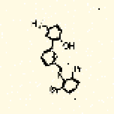 Cc1ccc(O)c(-c2cccc(/C=N/c3c(C(C)C)cccc3C(C)C)n2)c1